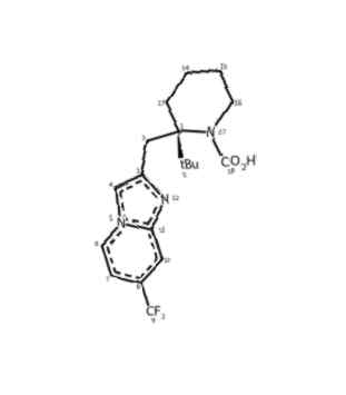 CC(C)(C)[C@@]1(Cc2cn3ccc(C(F)(F)F)cc3n2)CCCCN1C(=O)O